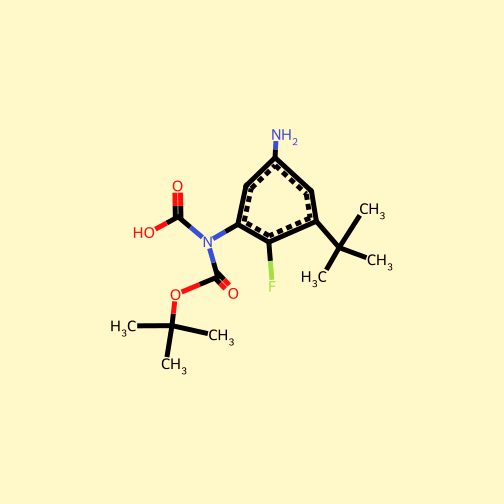 CC(C)(C)OC(=O)N(C(=O)O)c1cc(N)cc(C(C)(C)C)c1F